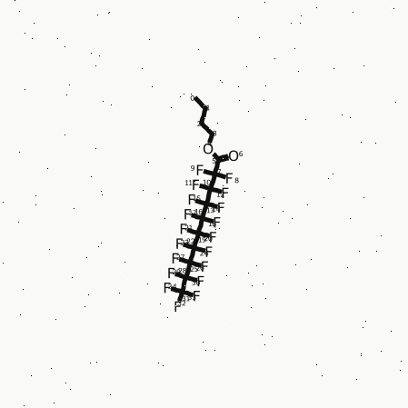 CCCCOC(=O)C(F)(F)C(F)(F)C(F)(F)C(F)(F)C(F)(F)C(F)(F)C(F)(F)C(F)(F)C(F)(F)F